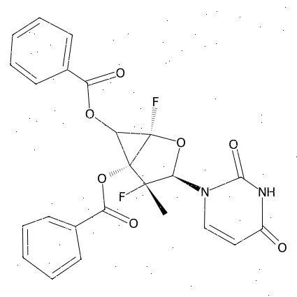 C[C@]1(F)[C@H](n2ccc(=O)[nH]c2=O)O[C@]2(F)C(OC(=O)c3ccccc3)[C@]12OC(=O)c1ccccc1